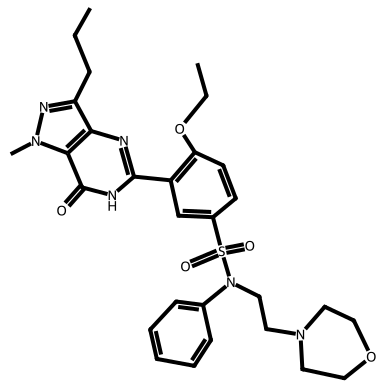 CCCc1nn(C)c2c(=O)[nH]c(-c3cc(S(=O)(=O)N(CCN4CCOCC4)c4ccccc4)ccc3OCC)nc12